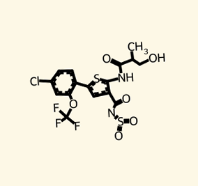 CC(CO)C(=O)Nc1sc(-c2ccc(Cl)cc2OC(F)(F)F)cc1C(=O)N=S(=O)=O